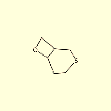 C1CC2OCC2CS1